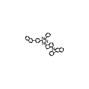 c1ccc(-c2nc(-c3ccc(-c4ccc5ccccc5c4)cc3)nc(-c3cccc4c(-n5c6ccccc6c6cc7ccccc7cc65)cccc34)n2)cc1